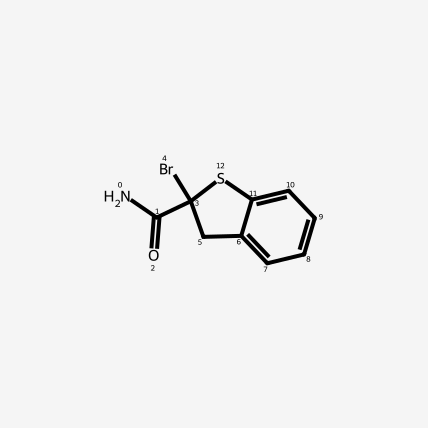 NC(=O)C1(Br)Cc2ccccc2S1